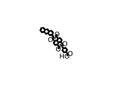 O=C(O)c1ccc(N2C(=O)c3ccc4c5c(ccc(c35)C2=O)C(=O)N(c2ccc3cc5ccccc5cc3c2)C4=O)cc1